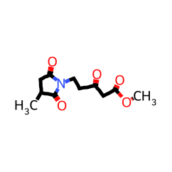 COC(=O)CC(=O)CCN1C(=O)CC(C)C1=O